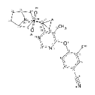 Cc1c(Oc2ccc(C#N)cc2F)ncnc1OC1CC2CCC(C1)N2S(=O)(=O)C1CC1